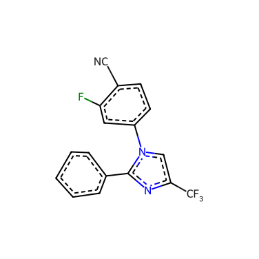 N#Cc1ccc(-n2cc(C(F)(F)F)nc2-c2ccccc2)cc1F